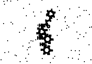 O=C(CCc1ccccc1)Nc1ccc2[nH]c3c(c2c1)CCCC3NC1CCCCC1